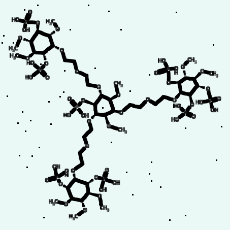 CO[C@@H]1[C@@H](OC)[C@H](OP(=O)(O)O)[C@H](OCCOCCO[C@H]2[C@H](OC)[C@H](OCCOCCO[C@H]3[C@@H](OP(=O)(O)O)[C@H](OC)[C@@H](OC)[C@H](OP(=O)(O)O)[C@H]3OP(=O)(O)O)[C@H](OC)[C@@H](OCCOCCO[C@H]3[C@@H](OC)[C@H](OP(=O)(O)O)[C@@H](OC)[C@H](OC)[C@H]3OP(=O)(O)O)[C@@H]2OP(=O)(O)O)[C@H](OP(=O)(O)O)[C@H]1OC